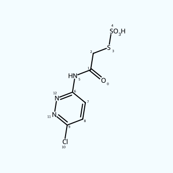 O=C(CSS(=O)(=O)O)Nc1ccc(Cl)nn1